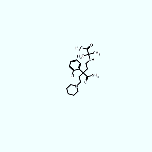 CC(=O)C(C)(C)NCCC(CCN1CCCCC1)(C(N)=O)c1ccccc1Cl